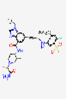 COc1cc(F)c(S(C)(=O)=O)cc1NCC#Cc1cc(C(=O)N[C@H]2CCN(C(C)C(N)=O)C[C@@H]2C)c2ncn(CC(F)(F)F)c2c1